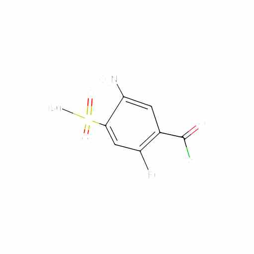 CCc1cc(S(=O)(=O)C(C)CC)c([N+](=O)[O-])cc1C(=O)Cl